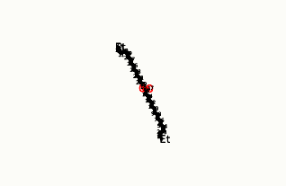 CC/C=C\C=C/CCCCCCCCCCCC(=O)OCCCCCCCCCC/C=C\C=C/CC